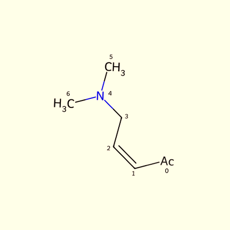 CC(=O)/C=C\CN(C)C